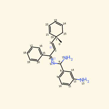 C[C@@]1(/C=C/C(=N\C(N)c2cccc(N)c2)c2ccccc2)C=CC=CC1